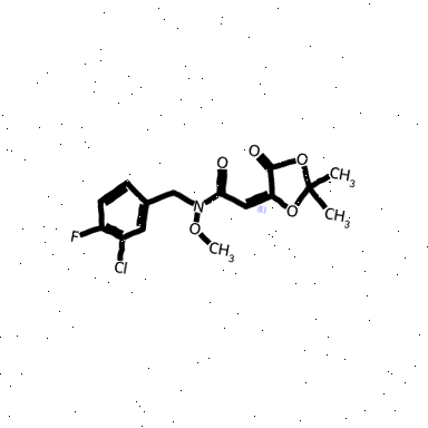 CON(Cc1ccc(F)c(Cl)c1)C(=O)/C=C1/OC(C)(C)OC1=O